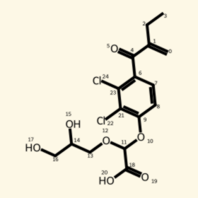 C=C(CC)C(=O)c1ccc(OC(OCC(O)CO)C(=O)O)c(Cl)c1Cl